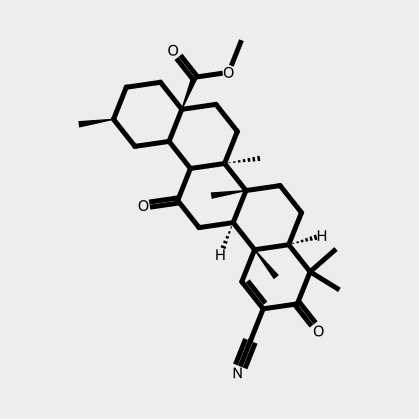 COC(=O)[C@]12CC[C@H](C)CC1C1C(=O)C[C@@H]3[C@@]4(C)C=C(C#N)C(=O)C(C)(C)[C@@H]4CC[C@@]3(C)[C@]1(C)CC2